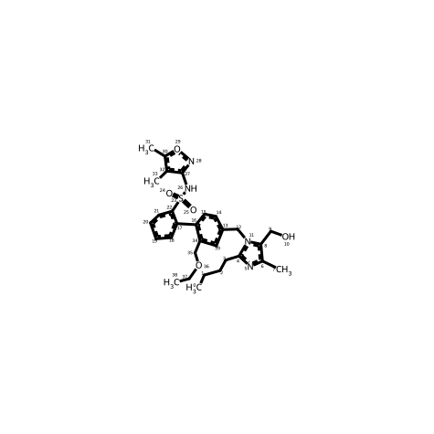 CCCCc1nc(C)c(CO)n1Cc1ccc(-c2ccccc2S(=O)(=O)Nc2noc(C)c2C)c(COCC)c1